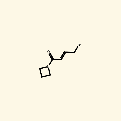 O=C(C=CCBr)N1CCC1